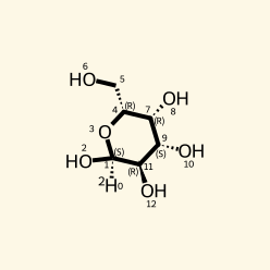 [2H][C@]1(O)O[C@H](CO)[C@H](O)[C@H](O)[C@H]1O